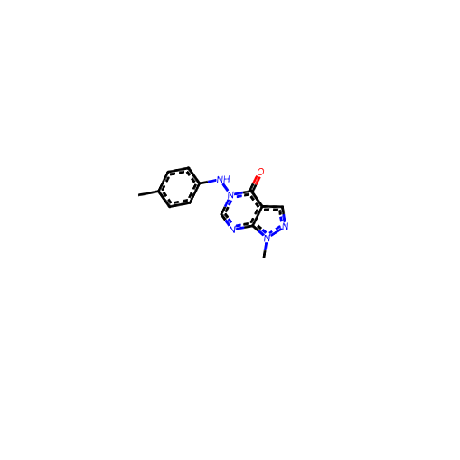 Cc1ccc(Nn2cnc3c(cnn3C)c2=O)cc1